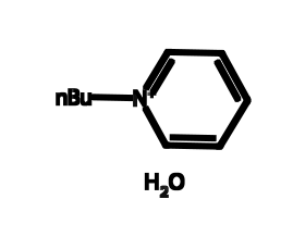 CCCC[n+]1ccccc1.O